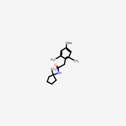 COc1cc(C)c(CC(=O)NC2(C(=O)O)CCCC2)c(C)c1